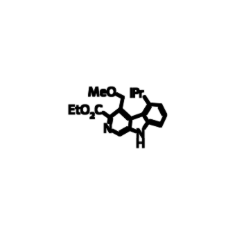 CCOC(=O)c1ncc2[nH]c3cccc(C(C)C)c3c2c1COC